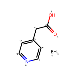 B.O=C(O)Cc1ccncc1